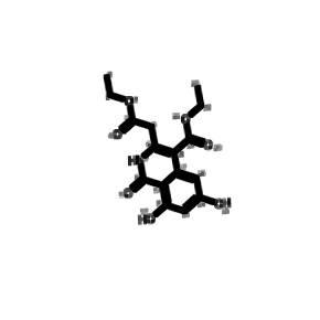 CCOC(=O)Cc1[nH]c(=O)c2c(O)cc(O)cc2c1C(=O)OCC